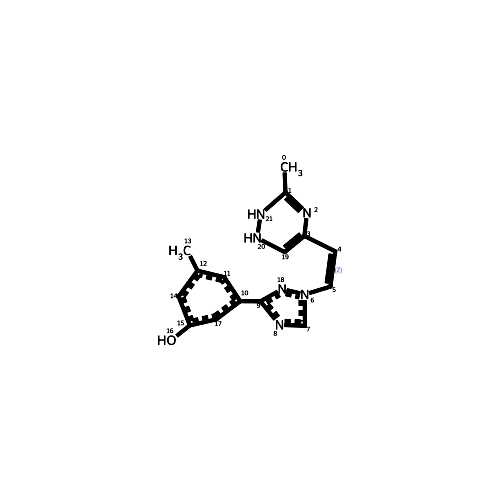 CC1=NC(/C=C\n2cnc(-c3cc(C)cc(O)c3)n2)=CNN1